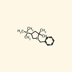 CC1(C)CC(S(C)(C)C)CN1Cc1ccccc1